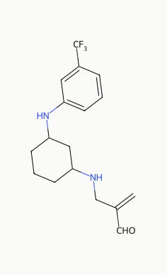 C=C(C=O)CNC1CCCC(Nc2cccc(C(F)(F)F)c2)C1